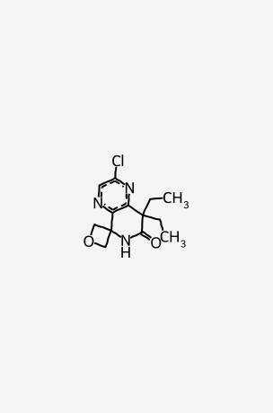 CCC1(CC)C(=O)NC2(COC2)c2ncc(Cl)nc21